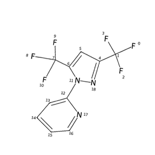 FC(F)(F)c1cc(C(F)(F)F)n(-c2ccccn2)n1